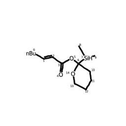 CCCCC=CC(=O)OC1([SiH](C)C)CCCCO1